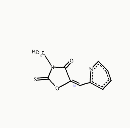 O=C(O)N1C(=O)/C(=C\c2ccccn2)OC1=S